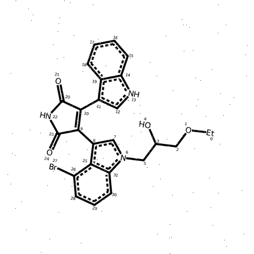 CCOCC(O)Cn1cc(C2=C(c3c[nH]c4ccccc34)C(=O)NC2=O)c2c(Br)cccc21